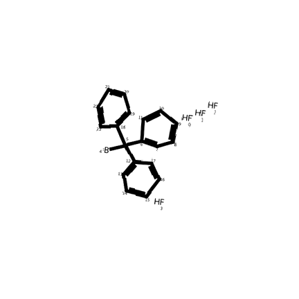 F.F.F.F.[B]C(c1ccccc1)(c1ccccc1)c1ccccc1